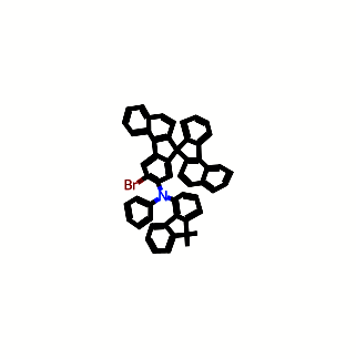 CC1(C)c2ccccc2-c2c(N(c3ccccc3)c3cc4c(cc3Br)-c3c(ccc5ccccc35)C43c4ccccc4-c4c3ccc3ccccc43)cccc21